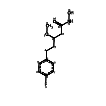 COC(CCc1ccc(F)cc1)CC(=O)NO